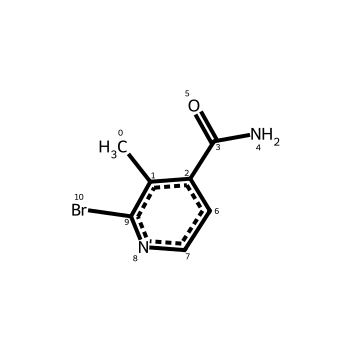 Cc1c(C(N)=O)ccnc1Br